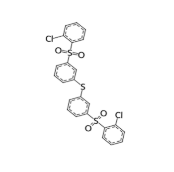 O=S(=O)(c1cccc(Sc2cccc(S(=O)(=O)c3ccccc3Cl)c2)c1)c1ccccc1Cl